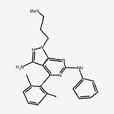 CNCCCn1nc(N)c2c(-c3c(C)cccc3C)nc(Nc3ccccc3)nc21